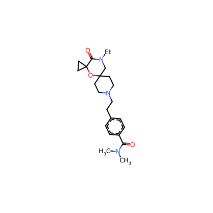 CCN1CC2(CCN(CCc3ccc(C(=O)N(C)C)cc3)CC2)OC2(CC2)C1=O